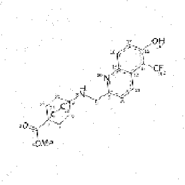 COC(=O)C12CCC(NCc3ccc4c(C(F)(F)F)c(O)ccc4n3)(CC1)CC2